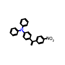 C=C(c1ccc(N(c2ccccc2)c2ccccc2)cc1)c1ccc([N+](=O)[O-])cc1